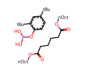 CC(C)(C)c1ccc(OP(O)O)c(C(C)(C)C)c1.CCCCCCCCOC(=O)CCCCC(=O)OCCCCCCCC